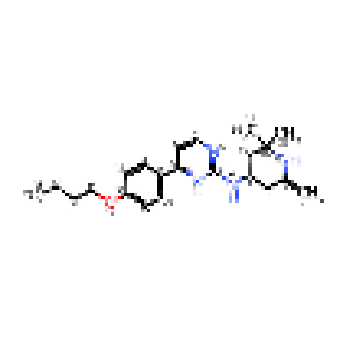 C=C1CC(Nc2nccc(-c3ccc(OCCCC#N)cc3)n2)CC(C)(C)N1